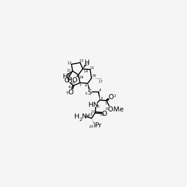 COC(=O)[C@H](CS[C@H]1C2C(=O)O[C@@H]3CC[C@H](C[C@@H]1C)[C@]23O)NC(=O)[C@@H](N)C(C)C